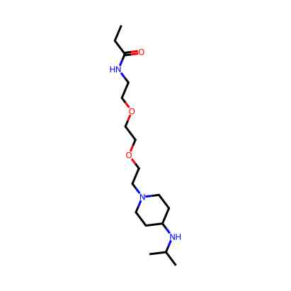 CCC(=O)NCCOCCOCCN1CCC(NC(C)C)CC1